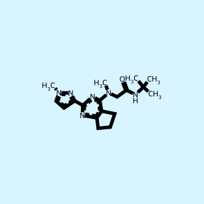 CN(CC(=O)NC(C)(C)C)c1nc(-c2ccn(C)n2)nc2c1CCC2